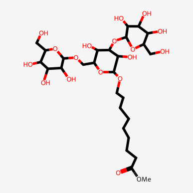 COC(=O)CCCCCCCCOC1OC(COC2OC(CO)C(O)C(O)C2O)C(O)C(OC2OC(CO)C(O)C(O)C2O)C1O